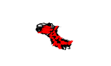 CCOC(=O)CC(C(=O)OCC)C(C(=O)OCC)C(C(=O)OCC)C(C(=O)OCC)C(C(=O)OCC)C(C(=O)OCC)C(C(=O)OCC)C(C(=O)OCC)C(C(=O)OCC)C(C(=O)OCC)C(C(=O)OCC)C(C(=O)OCC)C(C(=O)OCC)C(C(=O)OCC)C(C(=O)OCC)C(C(=O)OCC)C(C(=O)OCC)C(C(=O)OCC)C(C(=O)OCC)C(C(=O)OC(C)C)C(C)C(=O)OC(C)C